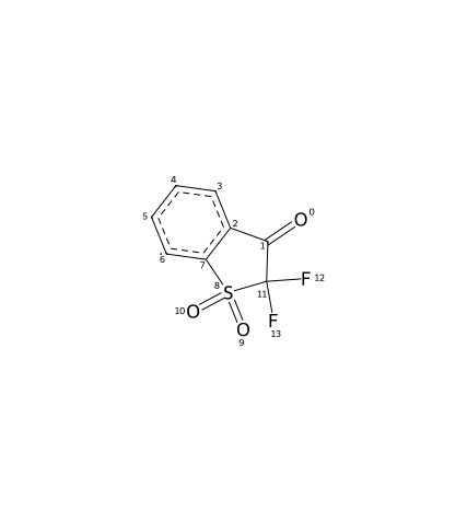 O=C1c2ccc[c]c2S(=O)(=O)C1(F)F